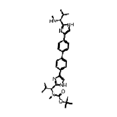 CN[C@H](c1nc(-c2ccc(-c3ccc(-c4c[nH]c([C@H](C(C)C)N(C)C(=O)OC(C)(C)C)n4)cc3)cc2)c[nH]1)C(C)C